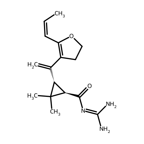 C=C(C1=C(/C=C\C)OCC1)[C@@H]1[C@@H](C(=O)N=C(N)N)C1(C)C